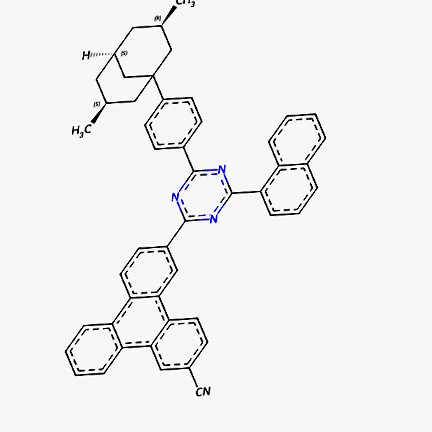 C[C@@H]1C[C@@H]2C[C@H](C)CC(c3ccc(-c4nc(-c5ccc6c7ccccc7c7cc(C#N)ccc7c6c5)nc(-c5cccc6ccccc56)n4)cc3)(C1)C2